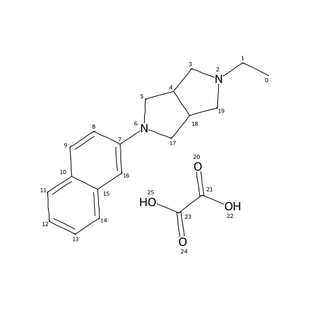 CCN1CC2CN(c3ccc4ccccc4c3)CC2C1.O=C(O)C(=O)O